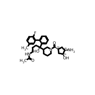 CC(=O)NCCC[C@@](O)(c1ccccc1-c1cc(C)ccc1F)C1CCCN(C(=O)[C@H]2C[C@@H](N)[C@@H](O)C2)C1